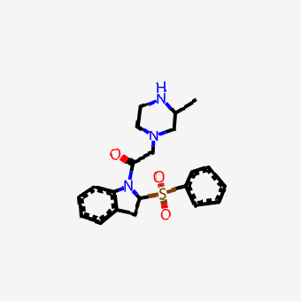 CC1CN(CC(=O)N2c3ccccc3CC2S(=O)(=O)c2ccccc2)CCN1